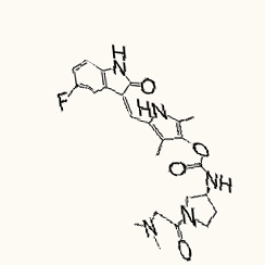 Cc1[nH]c(/C=C2\C(=O)Nc3ccc(F)cc32)c(C)c1OC(=O)N[C@H]1CCN(C(=O)CN(C)C)C1